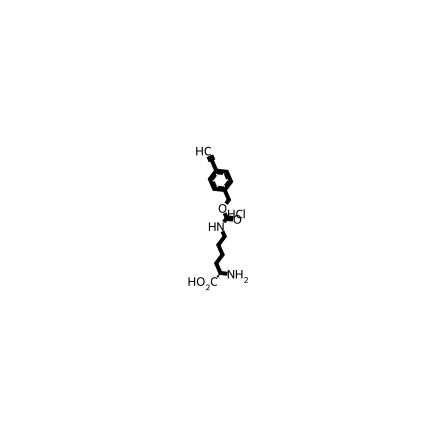 C#Cc1ccc(COC(=O)NCCCC[C@H](N)C(=O)O)cc1.Cl